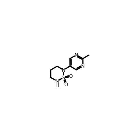 Cc1ncc(N2CCCNS2(=O)=O)cn1